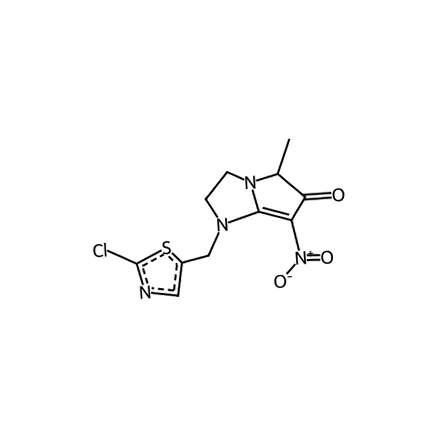 CC1C(=O)C([N+](=O)[O-])=C2N(Cc3cnc(Cl)s3)CCN21